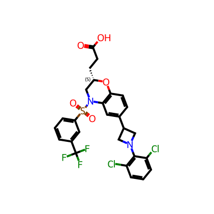 O=C(O)CC[C@H]1CN(S(=O)(=O)c2cccc(C(F)(F)F)c2)c2cc(C3CN(c4c(Cl)cccc4Cl)C3)ccc2O1